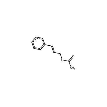 CC(=O)OCC=Cc1ccccc1